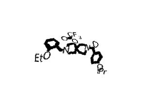 CCOc1ccccc1CN1CCC2(CCN(C(=O)c3ccc(OC(C)C)cc3)CC2)C(OC(=O)C(F)(F)F)C1